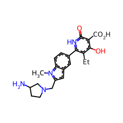 CCc1c(-c2ccc3c(c2)cc(CN2CCC(N)C2)n3C)[nH]c(=O)c(C(=O)O)c1O